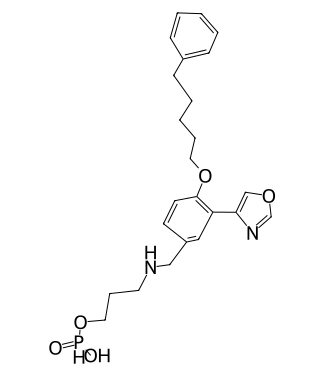 O=[PH](O)OCCCNCc1ccc(OCCCCCc2ccccc2)c(-c2cocn2)c1